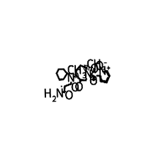 C[C@@H]1CC[C@H](N(C(=O)[CH]C(N)=O)C2(C)CCCCC2)C(=O)CN1S(=O)(=O)c1cccc[n+]1[O-]